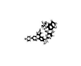 COc1cc(N2CCC(N3CCN(C)CC3)CC2)c(-c2cnn(C)c2)cc1Nc1ncc(Br)c(N(C)c2cc3c(cc2N(C)S(C)(=O)=O)CCO3)n1